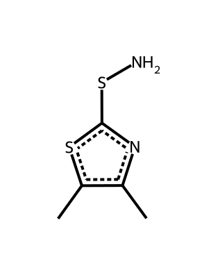 Cc1nc(SN)sc1C